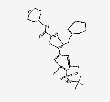 CC(C)(C)NS(=O)(=O)c1c(F)cc(-c2sc(C(=O)NC3CCOCC3)nc2CC2CCCCC2)cc1F